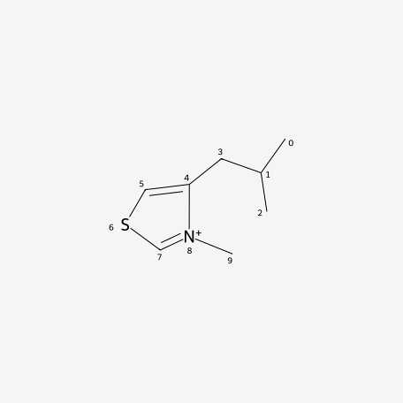 CC(C)Cc1csc[n+]1C